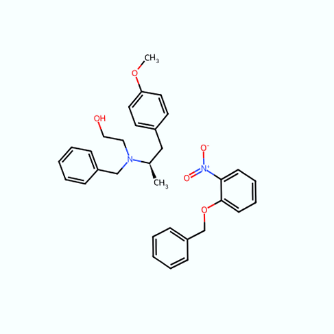 COc1ccc(C[C@@H](C)N(CCO)Cc2ccccc2)cc1.O=[N+]([O-])c1ccccc1OCc1ccccc1